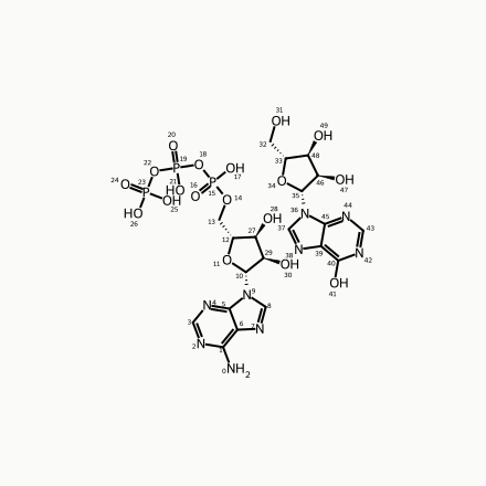 Nc1ncnc2c1ncn2[C@@H]1O[C@H](COP(=O)(O)OP(=O)(O)OP(=O)(O)O)[C@@H](O)[C@H]1O.OC[C@H]1O[C@@H](n2cnc3c(O)ncnc32)[C@H](O)[C@@H]1O